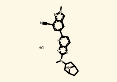 CN(c1nc2ccc(-c3cc(C#N)c4nn(C)cc4c3)nc2s1)C1CC2CCC(C1)N2.Cl